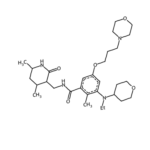 CCN(c1cc(OCCCN2CCOCC2)cc(C(=O)NCC2C(=O)NC(C)CC2C)c1C)C1CCOCC1